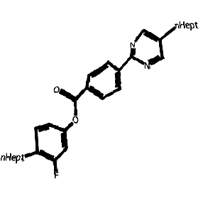 CCCCCCCc1cnc(-c2ccc(C(=O)Oc3ccc(CCCCCCC)c(F)c3)cc2)nc1